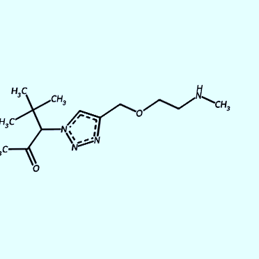 CNCCOCc1cn(C(C(C)=O)C(C)(C)C)nn1